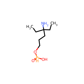 CCC(N)(CC)CCCO[PH](=O)O